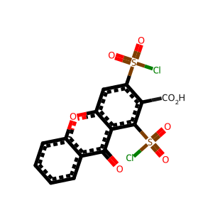 O=C(O)c1c(S(=O)(=O)Cl)cc2oc3ccccc3c(=O)c2c1S(=O)(=O)Cl